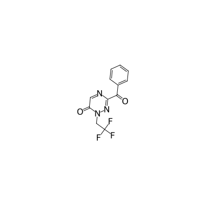 O=C(c1ccccc1)c1ncc(=O)n(CC(F)(F)F)n1